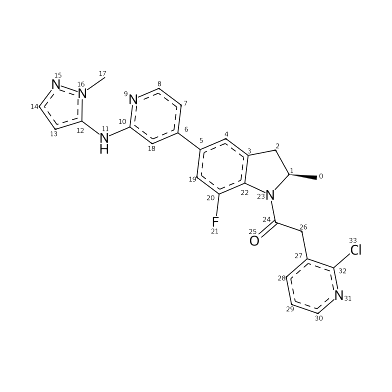 C[C@@H]1Cc2cc(-c3ccnc(Nc4ccnn4C)c3)cc(F)c2N1C(=O)Cc1cccnc1Cl